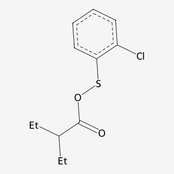 CCC(CC)C(=O)OSc1ccccc1Cl